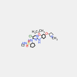 CC(C)Oc1cc(OC2CCN(C)C2)ccc1Nc1ncc(Cl)c(Nc2ccccc2S(=O)(=O)NC2CCC2)n1